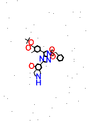 COc1cc(-c2cnc3c(n2)c(-c2ccc(C(=O)OC(C)(C)C)c(C)c2)cn3S(=O)(=O)Cc2ccccc2)cc2c1CCNC2